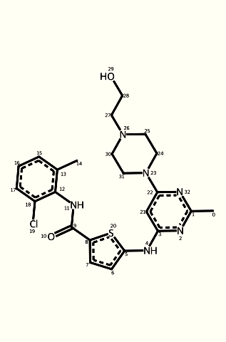 Cc1nc(Nc2ccc(C(=O)Nc3c(C)cccc3Cl)s2)cc(N2CCN(CCO)CC2)n1